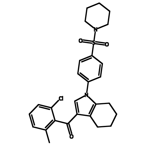 Cc1cccc(Cl)c1C(=O)c1cn(-c2ccc(S(=O)(=O)N3CCCCC3)cc2)c2c1CCCC2